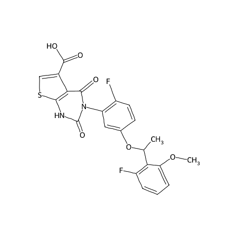 COc1cccc(F)c1C(C)Oc1ccc(F)c(-n2c(=O)[nH]c3scc(C(=O)O)c3c2=O)c1